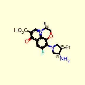 CC[C@@H]1CN(c2c(F)cc3c(=O)c(C(=O)O)cn4c3c2OC[C@@H]4C)C[C@H]1N